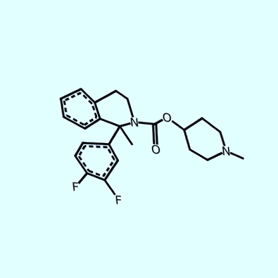 CN1CCC(OC(=O)N2CCc3ccccc3C2(C)c2ccc(F)c(F)c2)CC1